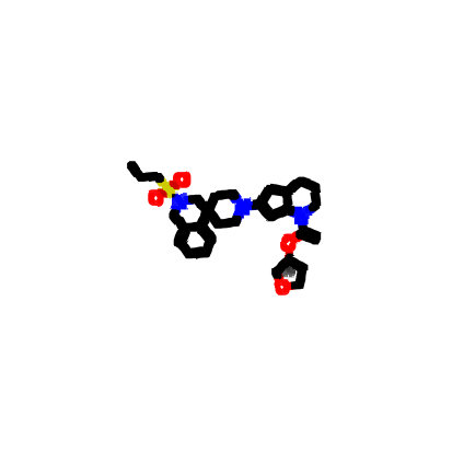 C=C(O[C@H]1CCOC1)N1CCCC2CC(N3CCC4(CC3)CN(S(=O)(=O)CCC)Cc3ccccc34)CC21